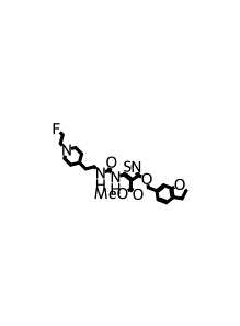 COC(=O)c1c(OCc2ccc3c(c2)OCC3)nsc1NC(=O)NCCC1CCN(CCF)CC1